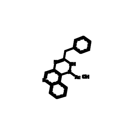 CC(=O)N1NC(Cc2ccccc2)=Nc2cnc3ccccc3c21.Cl